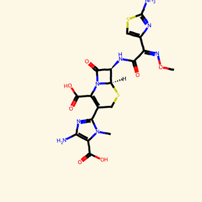 CO/N=C(\C(=O)N[C@@H]1C(=O)N2C(C(=O)O)=C(c3nc(N)c(C(=O)O)n3C)CS[C@H]12)c1csc(N)n1